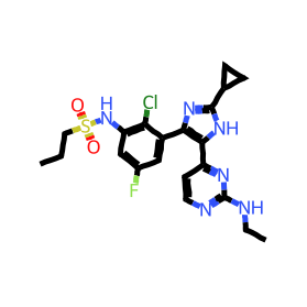 CCCS(=O)(=O)Nc1cc(F)cc(-c2nc(C3CC3)[nH]c2-c2ccnc(NCC)n2)c1Cl